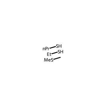 CCCS.CCS.CSC